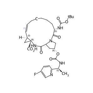 C[C@H](NC(=O)O[C@@H]1CC2C(=O)N[C@]3(C(=O)O)C[C@H]3/C=C\CCCCC[C@H](NC(=O)OC(C)(C)C)C(=O)N2C1)c1ccc(F)cn1